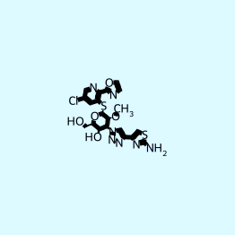 CO[C@@H]1[C@@H](n2cc(-c3csc(N)n3)nn2)[C@@H](O)[C@@H](CO)O[C@@H]1Sc1cc(Cl)cnc1-c1ncco1